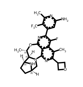 Cc1nc(N)cc(-c2nc3c4c(nc(C5COC5)c(C)c4c2F)N2C[C@H]4CC[C@H](N4)[C@H]2[C@H](C)O3)c1C(F)(F)F